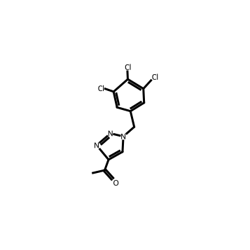 CC(=O)c1cn(Cc2cc(Cl)c(Cl)c(Cl)c2)nn1